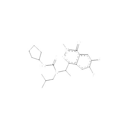 CC(C)CN(C(=O)NC1CCCC1)C(C)c1nn(C)c(=O)c2cc(F)c(F)cc12